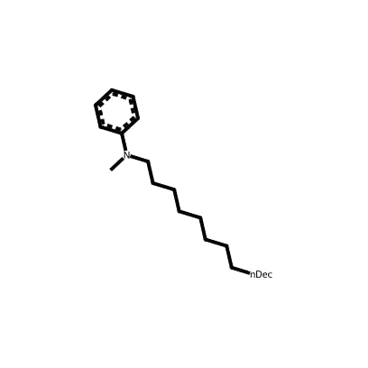 CCCCCCCCCCCCCCCCCCN(C)c1ccccc1